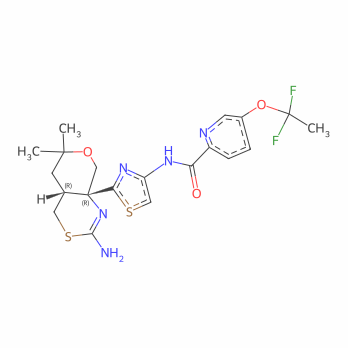 CC(F)(F)Oc1ccc(C(=O)Nc2csc([C@]34COC(C)(C)C[C@H]3CSC(N)=N4)n2)nc1